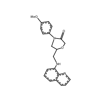 COc1ccc(N2CC(CNc3cccc4cccnc34)OCC2=O)cc1